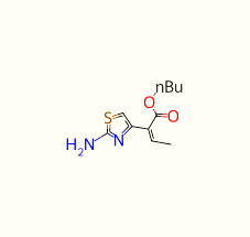 CC=C(C(=O)OCCCC)c1csc(N)n1